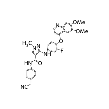 COc1cc2nccc(Oc3ccc(Nc4nn(C)cc4C(=O)Nc4ccc(CC#N)cc4)cc3F)c2cc1OC